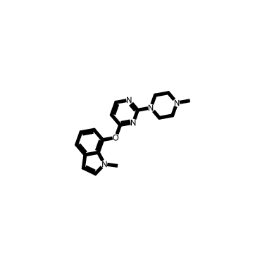 CN1CCN(c2nccc(Oc3cccc4ccn(C)c34)n2)CC1